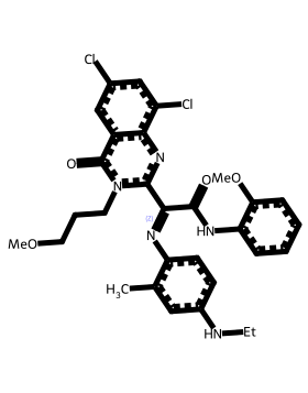 CCNc1ccc(/N=C(\C(=O)Nc2ccccc2OC)c2nc3c(Cl)cc(Cl)cc3c(=O)n2CCCOC)c(C)c1